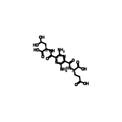 Nc1nc(C(=O)N[C@H](CC(O)O)C(=O)O)c(N)nc1C(=O)N[C@H](CCC(=O)O)C(=O)O